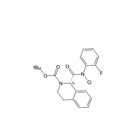 CC(C)(C)OC(=O)N1CCc2ccccc2[C@H]1C(=O)N(Cl)c1ccccc1F